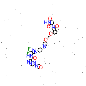 O=C1CCC(N2Cc3c(OCCCOC4CCN(C[C@H]5CC[C@H](n6cc(NC(=O)c7cnn8ccc(N9CCOCC9)nc78)c(C(F)F)n6)CC5)CC4)cccc3C2=O)C(=O)N1